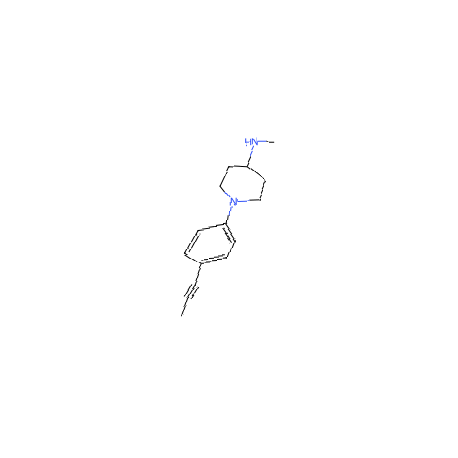 CC#Cc1ccc(N2CCC(NC)CC2)cc1